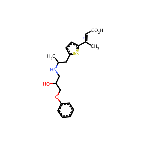 C/C(=C\C(=O)O)c1ccc(CC(C)NCC(O)COc2ccccc2)s1